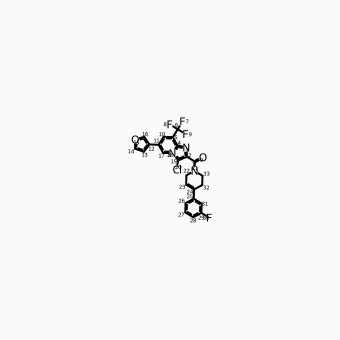 O=C(c1nc2c(C(F)(F)F)cc(-c3ccoc3)cn2c1Cl)N1CC=C(c2cccc(F)c2)CC1